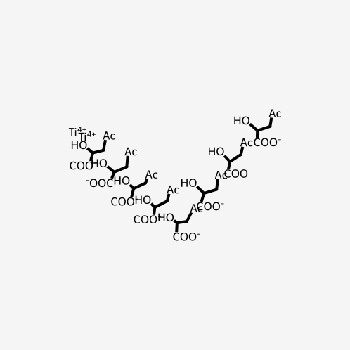 CC(=O)CC(O)C(=O)[O-].CC(=O)CC(O)C(=O)[O-].CC(=O)CC(O)C(=O)[O-].CC(=O)CC(O)C(=O)[O-].CC(=O)CC(O)C(=O)[O-].CC(=O)CC(O)C(=O)[O-].CC(=O)CC(O)C(=O)[O-].CC(=O)CC(O)C(=O)[O-].[Ti+4].[Ti+4]